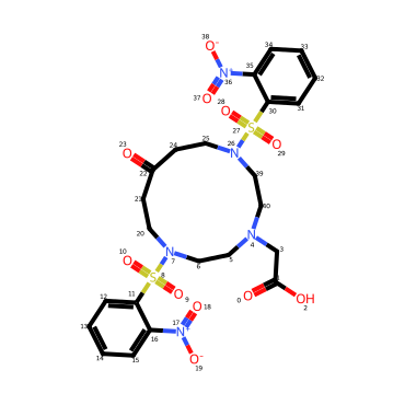 O=C(O)CN1CCN(S(=O)(=O)c2ccccc2[N+](=O)[O-])CCC(=O)CCN(S(=O)(=O)c2ccccc2[N+](=O)[O-])CC1